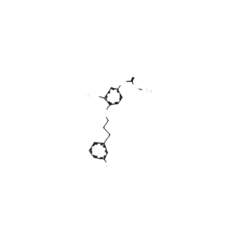 Cc1cc(OC(=O)OC(C)(C)C)ccc1OCCCc1cccc(Cl)c1